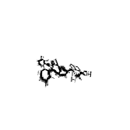 C[C@@H](NC(=O)c1ccc2c(C3CCCCC3)n(-c3ccccn3)nc2c1)C(=O)O